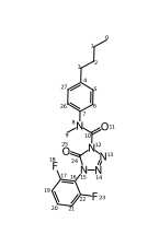 CCCCc1ccc(N(C)C(=O)n2nnn(-c3c(F)cccc3F)c2=O)cc1